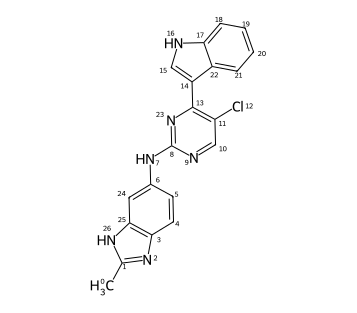 Cc1nc2ccc(Nc3ncc(Cl)c(-c4c[nH]c5ccccc45)n3)cc2[nH]1